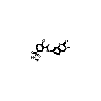 CC(C)NS(=O)(=O)c1ccc(Cl)c(C(=O)Nc2ccc3c(c2)NC(=O)N(C)C3)c1